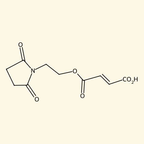 O=C(O)/C=C/C(=O)OCCN1C(=O)CCC1=O